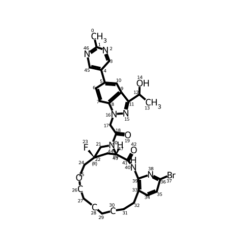 Cc1ncc(-c2ccc3c(c2)c(C(C)O)nn3CC(=O)N2C[C@@]3(F)COCCCCCCCc4ccc(Br)nc4NC(=O)[C@@H]2C3)cn1